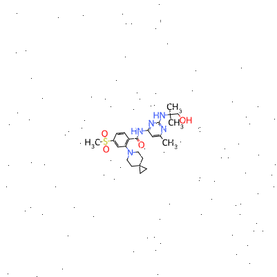 Cc1cc(NC(=O)c2ccc(S(C)(=O)=O)cc2N2CCC3(CC2)CC3)nc(NC(C)(C)CO)n1